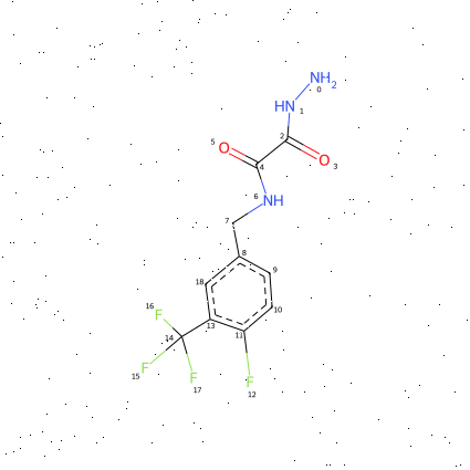 NNC(=O)C(=O)NCc1ccc(F)c(C(F)(F)F)c1